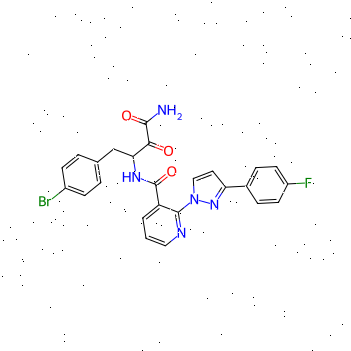 NC(=O)C(=O)C(Cc1ccc(Br)cc1)NC(=O)c1cccnc1-n1ccc(-c2ccc(F)cc2)n1